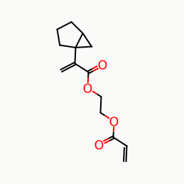 C=CC(=O)OCCOC(=O)C(=C)C12CCCC1C2